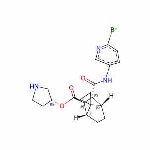 O=C(O[C@@H]1CCNC1)[C@H]1[C@H](C(=O)Nc2ccc(Br)nc2)[C@@H]2CC[C@H]1C21CC1